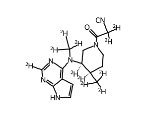 [2H]c1nc(N(C([2H])([2H])[2H])[C@@]2([2H])CN(C(=O)C([2H])([2H])[N+]#[C-])CC[C@@]2([2H])C([2H])([2H])[2H])c2cc[nH]c2n1